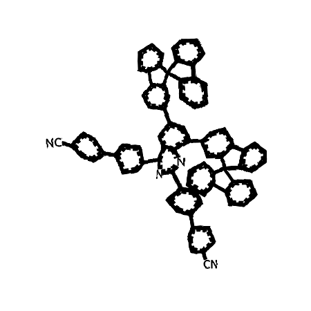 N#Cc1ccc(-c2ccc(-c3nc(-c4ccc(-c5ccc(C#N)cc5)cc4)c4cc(-c5ccc6c(c5)C5(c7ccccc7-c7ccccc75)c5ccccc5-6)cc(-c5ccc6c(c5)C5(c7ccccc7-c7ccccc75)c5ccccc5-6)c4n3)cc2)cc1